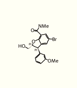 CNC(=O)c1cc(Br)cc2c1O[C@@H](CO)[C@@H]2c1cccc(OC)c1